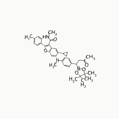 CNC(=O)c1c(-c2ccc(C)cc2)oc2cc(N(C)c3ccc(C(CC(C)=O)B4OC(C)(C)C(C)(C)O4)cc3)c(C3CC3)cc12